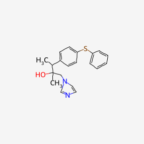 CC(c1ccc(Sc2ccccc2)cc1)C(C)(O)Cn1ccnc1